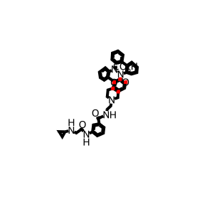 O=C(CNC1CC1)Nc1cccc(C(=O)NCCN2CCC(OC(=O)N(c3ccccc3-c3ccccc3)N(C(=O)O)c3ccccc3-c3ccccc3)CC2)c1